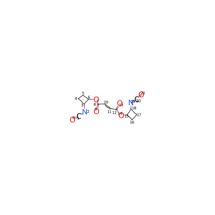 O=C=NC1CCC1OC(=O)/C=C/C(=O)OC1CCC1N=C=O